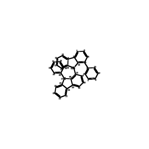 c1ccc(-c2cccc3c4ccccc4n(-c4cccc5c6ccccc6n(-c6ccccc6)c45)c23)cc1